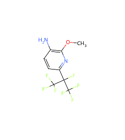 COc1nc(C(F)(C(F)(F)F)C(F)(F)F)ccc1N